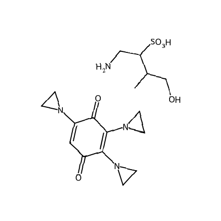 CC(CO)C(CN)S(=O)(=O)O.O=C1C=C(N2CC2)C(=O)C(N2CC2)=C1N1CC1